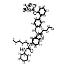 CCCCCN(C(=O)NC1CCCCC1)c1ccc2nc(CCCC)n(Cc3ccc(-c4ccccc4OC(=O)NS(C)(=O)=O)cc3)c2c1